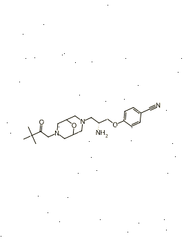 CC(C)(C)C(=O)CN1CC2CN(C[C@@H](N)COc3ccc(C#N)cc3)CC(C1)O2